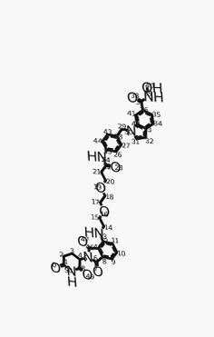 O=C1CCC(N2C(=O)c3cccc(NCCOCCOCCC(=O)Nc4ccc(Cn5ccc6ccc(C(=O)NO)cc65)cc4)c3C2=O)C(=O)N1